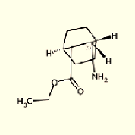 CCOC(=O)C1[C@H]2CC[C@@H](CC2)[C@@H]1N